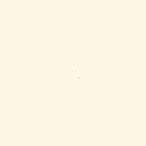 F.[AlH3].[GaH3].[LiH].[SrH2]